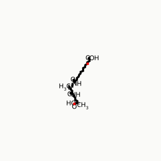 C[C@@H](CCCCNC(=O)CCN(C)CCNC(=O)CCCCCCCCCCCCCC(=O)O)C(=O)O